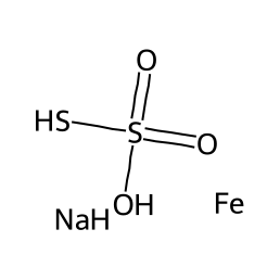 O=S(=O)(O)S.[Fe].[NaH]